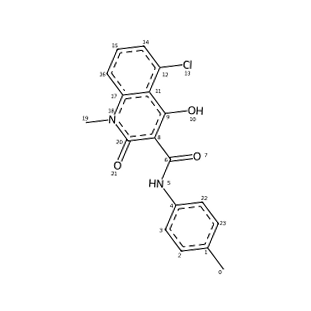 Cc1ccc(NC(=O)c2c(O)c3c(Cl)cccc3n(C)c2=O)cc1